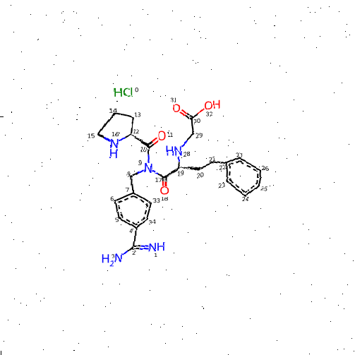 Cl.N=C(N)c1ccc(CN(C(=O)[C@@H]2CCCN2)C(=O)[C@H](CCc2ccccc2)NCC(=O)O)cc1